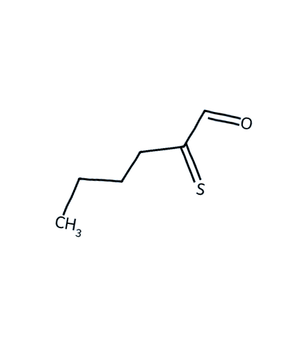 CCCCC(=S)C=O